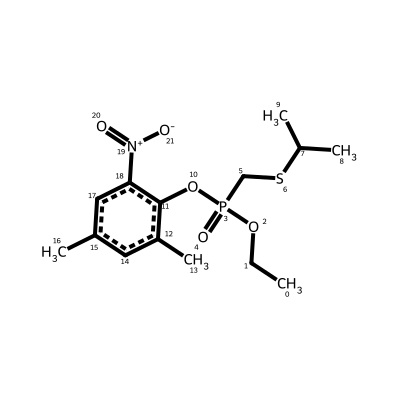 CCOP(=O)(CSC(C)C)Oc1c(C)cc(C)cc1[N+](=O)[O-]